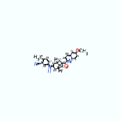 COc1ccc2nc(C(=O)C34C[C@H]5C[C@H](Nc6ccc(C)c(C#N)c6)C[C@@H](C3)C54)ccc2c1